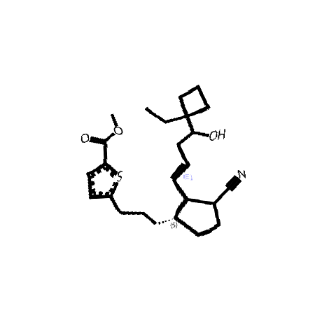 CCC1(C(O)C/C=C/C2C(C#N)CC[C@@H]2CCCc2ccc(C(=O)OC)s2)CCC1